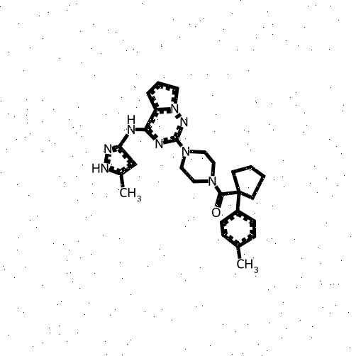 Cc1ccc(C2(C(=O)N3CCN(c4nc(Nc5cc(C)[nH]n5)c5cccn5n4)CC3)CCCC2)cc1